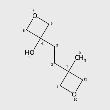 CC1(CCC2(O)COC2)COC1